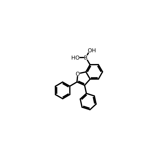 OB(O)c1cccc2c(-c3ccccc3)c(-c3ccccc3)oc12